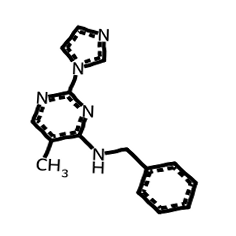 Cc1cnc(-n2ccnc2)nc1NCc1ccccc1